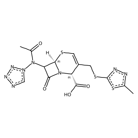 CC(=O)N(C1C(=O)N2[C@@H](C(=O)O)C(CSc3nnc(C)s3)=CS[C@H]12)n1cnnn1